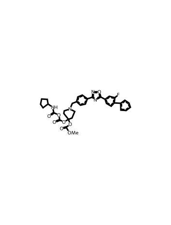 COC(=O)OC1(OC(=O)OC(=O)NC2CCCC2)CCN(Cc2ccc(-c3noc(-c4ccc(-c5ccccc5)c(F)c4)n3)cc2)CC1